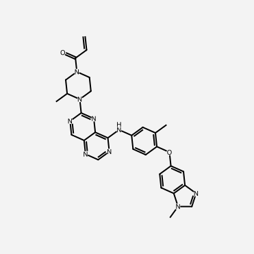 C=CC(=O)N1CCN(c2ncc3ncnc(Nc4ccc(Oc5ccc6c(c5)ncn6C)c(C)c4)c3n2)C(C)C1